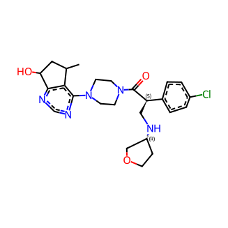 CC1CC(O)c2ncnc(N3CCN(C(=O)[C@H](CN[C@@H]4CCOC4)c4ccc(Cl)cc4)CC3)c21